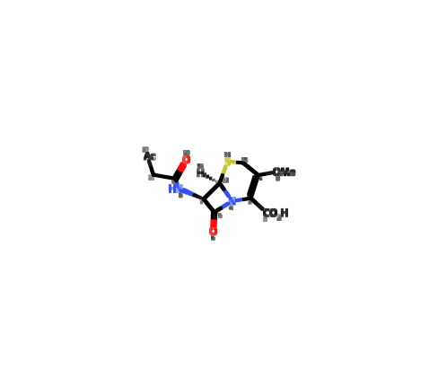 COC1=C(C(=O)O)N2C(=O)[C@@H](NC(=O)CC(C)=O)[C@H]2SC1